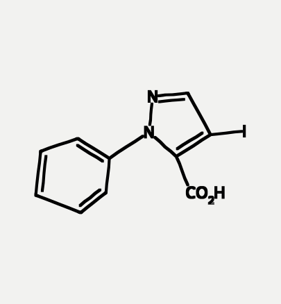 O=C(O)c1c(I)cnn1-c1ccccc1